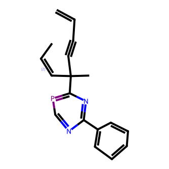 C=CC#CC(C)(/C=C\C)c1nc(-c2ccccc2)ncp1